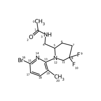 CC(=O)NCC1CCC(F)(F)CN1c1nc(Br)ccc1C